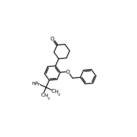 CCCC(C)(C)c1ccc(C2CCCC(=O)C2)c(OCc2ccccc2)c1